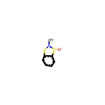 CCCN1Sc2ccccc2[S+]1[O-]